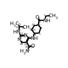 CCNC(=O)C1CCC(Nc2nc(NC(C)C)ncc2C(N)=O)CC1